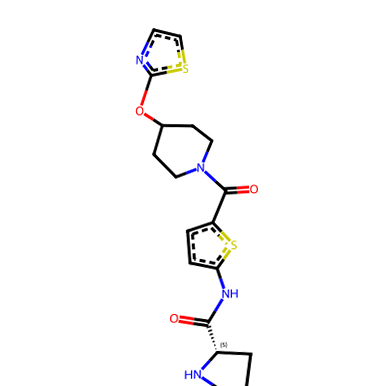 O=C(Nc1ccc(C(=O)N2CCC(Oc3nccs3)CC2)s1)[C@@H]1CCCN1